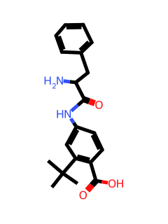 CC(C)(C)c1cc(NC(=O)C(N)Cc2ccccc2)ccc1C(=O)O